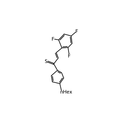 CCCCCCc1ccc(C(=S)C=Cc2c(F)cc(F)cc2F)cc1